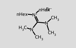 CCCCCC[N+](CCCCCC)=C(N(C)C)N(C)C.[Br-]